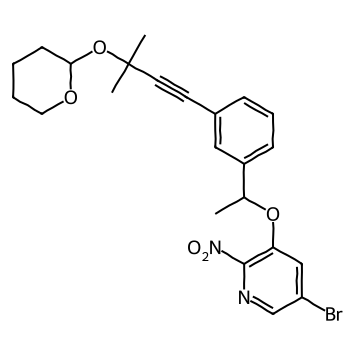 CC(Oc1cc(Br)cnc1[N+](=O)[O-])c1cccc(C#CC(C)(C)OC2CCCCO2)c1